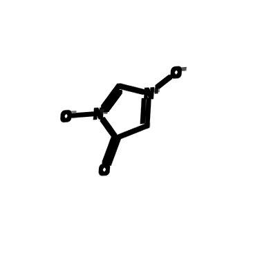 O=C1C=[N+]([O-])C=[N+]1[O-]